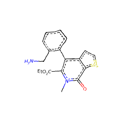 CCOC(=O)c1c(-c2ccccc2CN)c2ccsc2c(=O)n1C